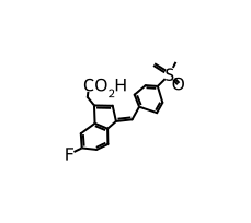 C=S(C)(=O)c1ccc(/C=C2\C=C(CC(=O)O)c3cc(F)ccc32)cc1